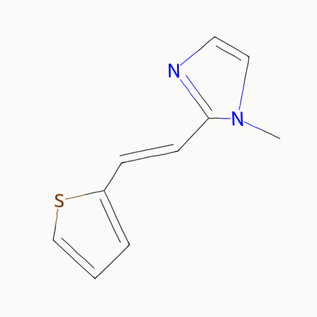 Cn1ccnc1/C=C/c1cccs1